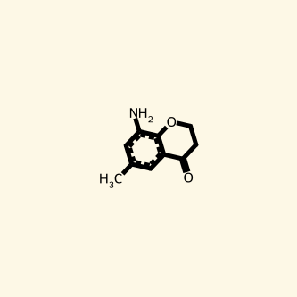 Cc1cc(N)c2c(c1)C(=O)CCO2